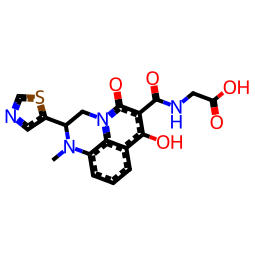 CN1c2cccc3c(O)c(C(=O)NCC(=O)O)c(=O)n(c23)CC1c1cncs1